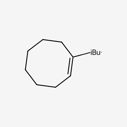 CC[C](C)/C1=C/CCCCCC1